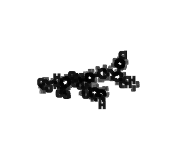 CC1(C)CCC(CN2CCC(c3ccc(C(=O)NS(=O)(=O)c4ccc(NCC5COCCO5)c([N+](=O)[O-])c4)c(N4CCOc5nc6[nH]ccc6cc54)c3)CC2)=C(c2ccc(Cl)cc2)C1